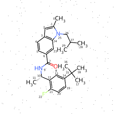 Cc1cc2ccc(C(=O)N[C@@H](C)c3cc(C(C)(C)C)ccc3F)cc2n1CC(C)C